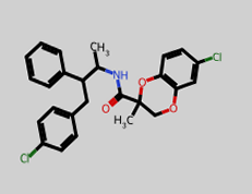 CC(NC(=O)C1(C)COc2cc(Cl)ccc2O1)C(Cc1ccc(Cl)cc1)c1ccccc1